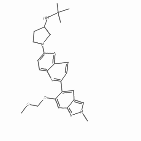 COCOc1cc2nn(C)cc2cc1-c1ccc2nc(N3CCC(NC(C)(C)C)C3)ccc2n1